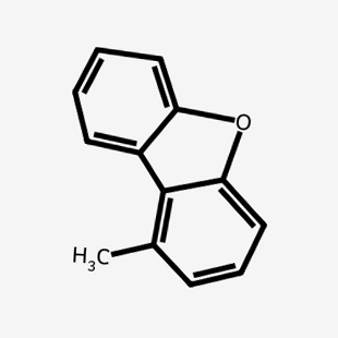 Cc1cccc2oc3ccccc3c12